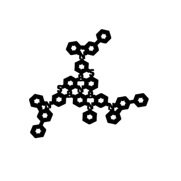 c1ccc(-c2ccc3c(c2)c2ccccc2n3-c2ccc3c(c2)Sc2ccc4c5c2B3c2ccc3c6c2N5c2c(ccc5c2B4c2ccc(-n4c7ccccc7c7cc(-c8ccccc8)ccc74)cc2N5c2ccccc2)B6c2ccc(-n4c5ccccc5c5cc(-c6ccccc6)ccc54)cc2S3)cc1